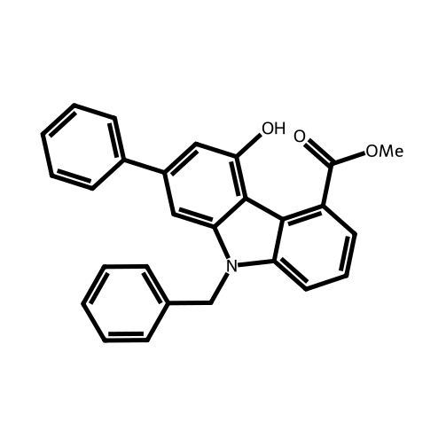 COC(=O)c1cccc2c1c1c(O)cc(-c3ccccc3)cc1n2Cc1ccccc1